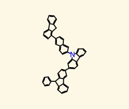 c1ccc(C2c3ccccc3-c3cc(-c4ccc5c6ccccc6n(-c6ccc7cc(-c8cccc9c8Cc8ccccc8-9)ccc7c6)c5c4)ccc32)cc1